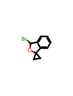 BrC1OC2(CC2)c2ccccc21